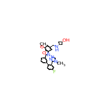 COc1cc(CN[C@H]2C[C@H](O)C2)cc2nc(-c3cccc(-c4ccc(F)cc4-c4nncn4C)c3)oc12